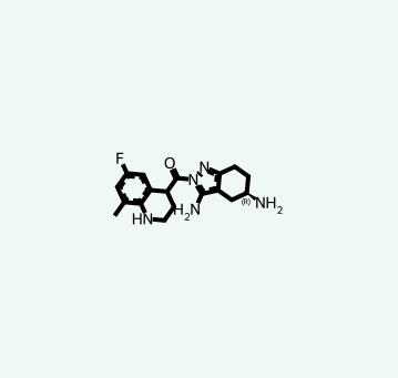 Cc1cc(F)cc2c1NCCC2C(=O)n1nc2c(c1N)C[C@H](N)CC2